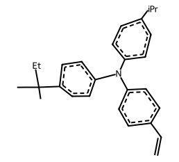 C=Cc1ccc(N(c2ccc(C(C)C)cc2)c2ccc(C(C)(C)CC)cc2)cc1